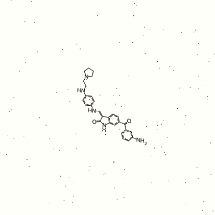 Nc1cccc(C(=O)c2ccc3c(c2)NC(=O)C3=CNc2ccc(NCCN3CCCC3)cc2)c1